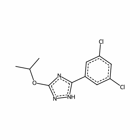 CC(C)Oc1n[nH]c(-c2cc(Cl)cc(Cl)c2)n1